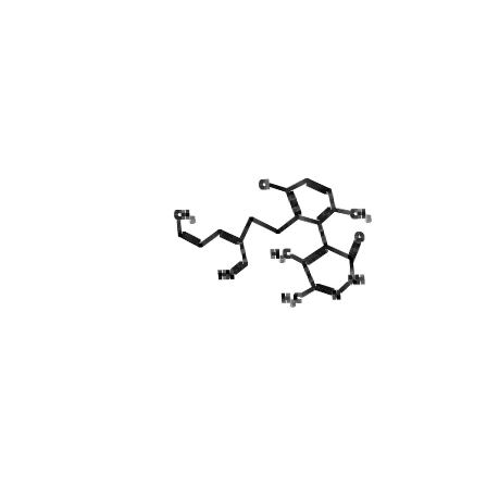 C/C=C\C=C(/C=N)CCc1c(Cl)ccc(C)c1-c1c(C)c(C)n[nH]c1=O